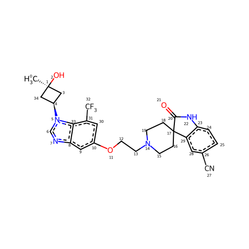 C[C@]1(O)C[C@@H](n2cnc3cc(OCCN4CCC5(CC4)C(=O)Nc4ccc(C#N)cc45)cc(C(F)(F)F)c32)C1